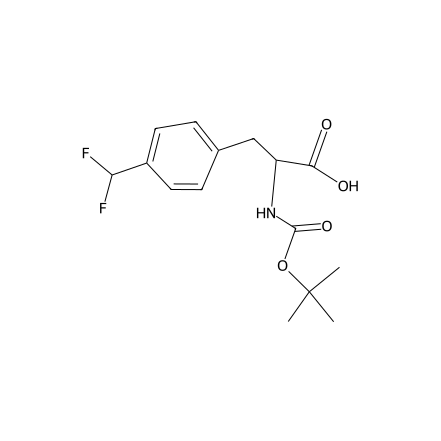 CC(C)(C)OC(=O)NC(Cc1ccc(C(F)F)cc1)C(=O)O